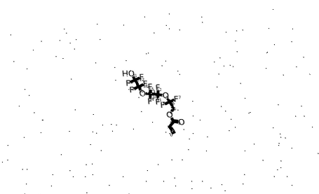 C=CC(=O)OCC(F)(F)OC(F)(F)C(F)(F)OC(F)(F)C(O)(F)F